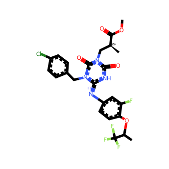 COC(=O)[C@@H](C)Cn1c(=O)[nH]/c(=N\c2ccc(OC(C)C(F)(F)F)c(F)c2)n(Cc2ccc(Cl)cc2)c1=O